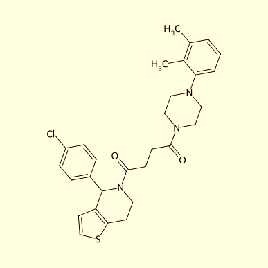 Cc1cccc(N2CCN(C(=O)CCC(=O)N3CCc4sccc4C3c3ccc(Cl)cc3)CC2)c1C